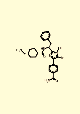 Cn1c([C@H](Cc2ccccc2)NC(=O)[C@H]2CC[C@H](CN)CC2)nc(-c2ccc(C(N)=O)cc2)c1Br